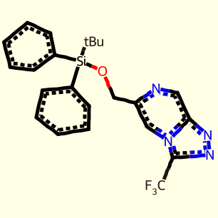 CC(C)(C)[Si](OCc1cn2c(C(F)(F)F)nnc2cn1)(c1ccccc1)c1ccccc1